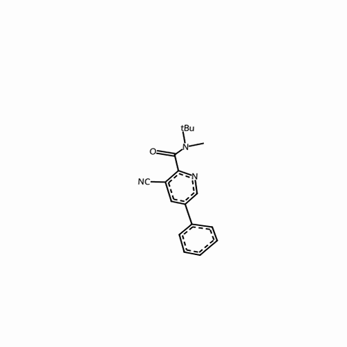 CN(C(=O)c1ncc(-c2ccccc2)cc1C#N)C(C)(C)C